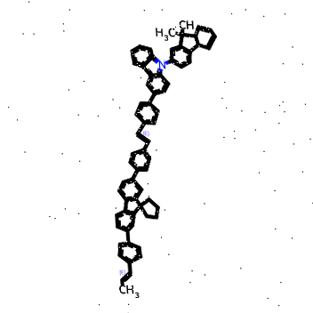 C/C=C/c1ccc(-c2ccc3c(c2)C2(CCCC2)c2cc(-c4ccc(/C=C/c5ccc(-c6ccc7c(c6)c6ccccc6n7-c6ccc7c(c6)C(C)(C)C6C=CC=CC76)cc5)cc4)ccc2-3)cc1